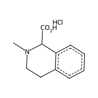 CN1CCc2ccccc2C1C(=O)O.Cl